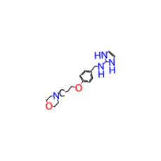 C1=CNC(NCc2ccc(OCCCN3CCOCC3)cc2)N1